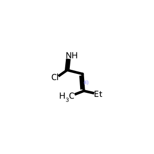 CC/C(C)=C/C(=N)Cl